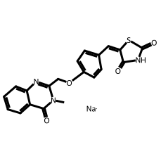 Cn1c(COc2ccc(C=C3SC(=O)NC3=O)cc2)nc2ccccc2c1=O.[Na]